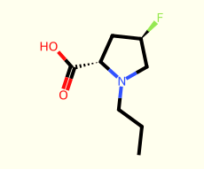 CCCN1C[C@H](F)C[C@H]1C(=O)O